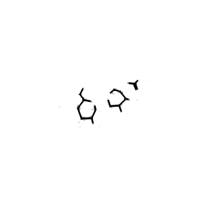 C=C(C)O[C@@H]1C(OC(C)=O)C(OC(C)=O)[C@H](O[C@H]2OC(COC(C)=O)[C@@H](OC(C)=O)[C@H](OC(C)=O)C2OC(C)=O)O[C@@H]1CC